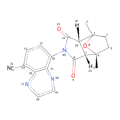 CC12CC[C@@](C)(O1)[C@@H]1C(=O)N(c3ccc(C#N)c4nccnc34)C(=O)[C@@H]12